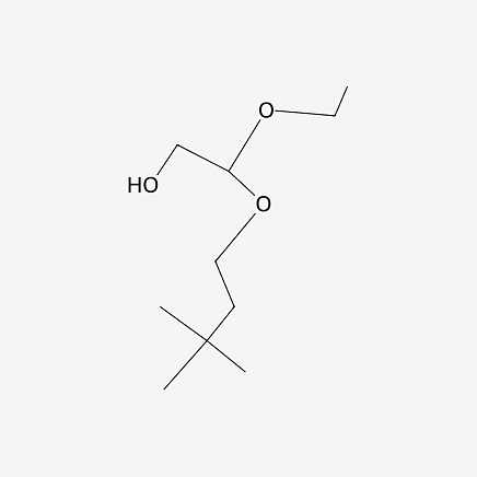 CCOC(CO)OCCC(C)(C)C